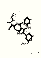 CC(=O)Nc1cc(-c2[nH]c3c(c2Nc2ccccc2)C(=O)CC(C(=O)N(C)CCO)C3)ccn1